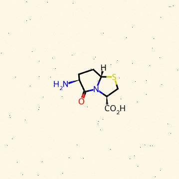 N[C@H]1CC[C@@H]2SC[C@@H](C(=O)O)N2C1=O